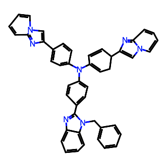 C1=CC(c2cn3ccccc3n2)CC=C1N(c1ccc(-c2cn3ccccc3n2)cc1)c1ccc(-c2nc3ccccc3n2Cc2ccccc2)cc1